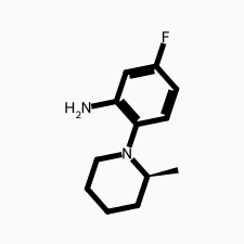 C[C@H]1CCCCN1c1ccc(F)cc1N